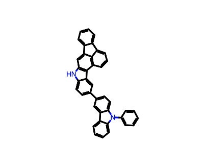 c1ccc(-n2c3ccccc3c3cc(-c4ccc5[nH]c6cc7c8c(cccc8c6c5c4)-c4ccccc4-7)ccc32)cc1